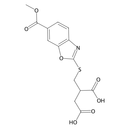 COC(=O)c1ccc2nc(SCC(CC(=O)O)C(=O)O)oc2c1